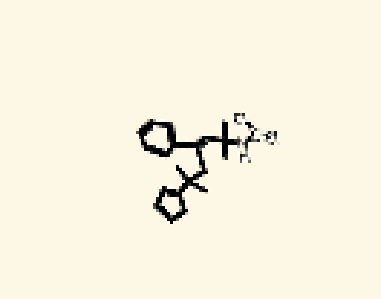 CC(C)(C=C(CC(C)(C)C1=CC=CC1)c1ccccc1)[NH][Cr]([Cl])[Cl]